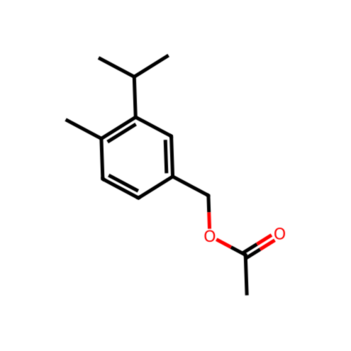 CC(=O)OCc1ccc(C)c(C(C)C)c1